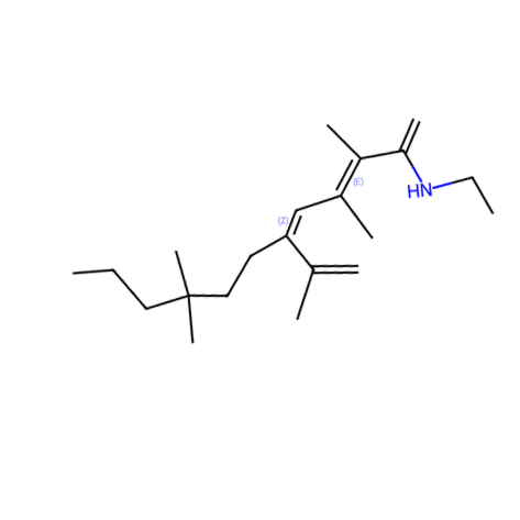 C=C(C)/C(=C\C(C)=C(/C)C(=C)NCC)CCC(C)(C)CCC